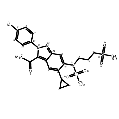 CNC(=O)c1c2cc(C3CC3)c(N(CCCS(C)(=O)=O)S(C)(=O)=O)cc2nn1-c1ccc(Br)cc1